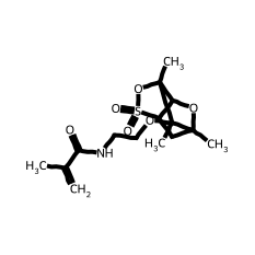 C=C(C)C(=O)NCCOC1(C)C2(C)CC3C(O2)C1(C)OS3(=O)=O